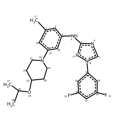 Cc1cc(Nc2ncn(-c3cc(F)cc(F)c3)n2)cc(N2CCC(OC(C)C)CC2)c1